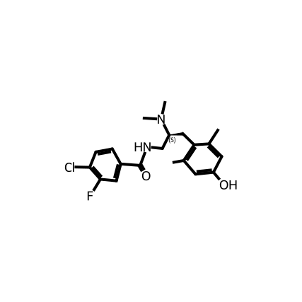 Cc1cc(O)cc(C)c1C[C@@H](CNC(=O)c1ccc(Cl)c(F)c1)N(C)C